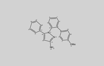 COc1ccc(-c2ccccc2-n2nc(N)cc2-c2ccccc2)cc1